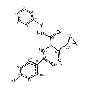 O=C(NC(C(=O)NCc1ccccc1)C(=O)C1CC1)c1ccc(F)cc1